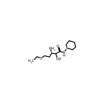 CCSCC[C@@H](N)C(O)C(=O)NN1CCCCC1